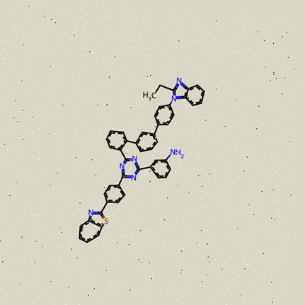 CCc1nc2ccccc2n1-c1ccc(-c2cccc(-c3ccccc3-c3nc(-c4ccc(-c5nc6ccccc6s5)cc4)nc(-c4cccc(N)c4)n3)c2)cc1